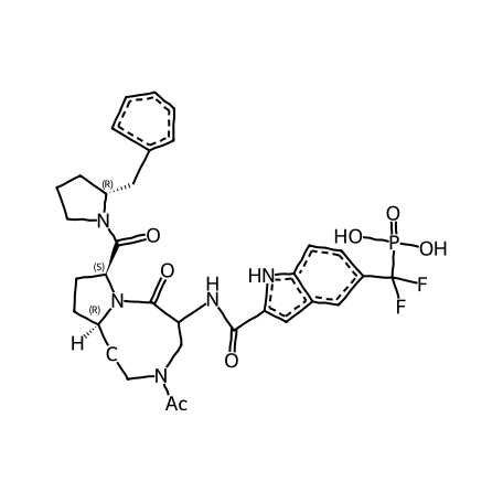 CC(=O)N1CC[C@H]2CC[C@@H](C(=O)N3CCC[C@@H]3Cc3ccccc3)N2C(=O)C(NC(=O)c2cc3cc(C(F)(F)P(=O)(O)O)ccc3[nH]2)C1